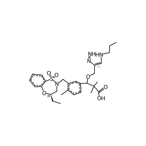 CCCN/C=C(/COC(c1ccc(C)c(CN2C[C@@H](CC)Oc3ccccc3S2(=O)=O)c1)C(C)(C)C(=O)O)N=N